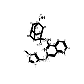 Cn1cnc(Nc2cc3ncccc3c(N[C@H]3C4CC5CC3C[C@@](O)(C5)C4)n2)c1